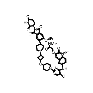 CNC(=O)COc1cc2cc(Nc3nc(N4CCC(OC5CC(N6CCC(c7cc8c(cc7OC(C)C)C(=O)N([C@@H]7CCC(=O)NC7=O)C8=O)CC6)C5)CC4)ncc3Cl)ccc2n(C(C)C)c1=O